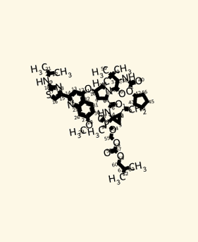 C=C[C@@H]1C[C@]1(NC(=O)[C@@H]1C[C@@H](Oc2cc(-c3csc(NC(C)C)n3)nc3cc(OC)ccc23)CN1C(=O)[C@@H](NC(=O)OC1CCCC1)C(C)(C)C)P(C)(=O)OCOC(=O)OCC(C)C